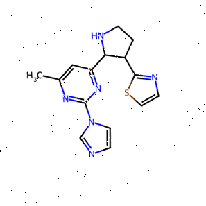 Cc1cc(C2NCCC2c2nccs2)nc(-n2ccnc2)n1